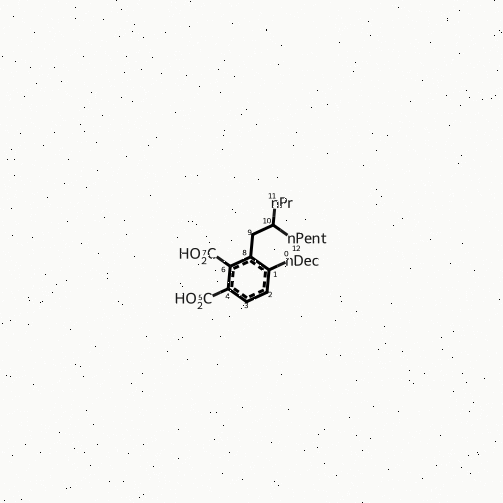 CCCCCCCCCCc1ccc(C(=O)O)c(C(=O)O)c1CC(CCC)CCCCC